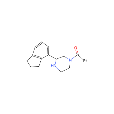 CCC(=O)N1CCNC(c2cccc3c2CCC3)C1